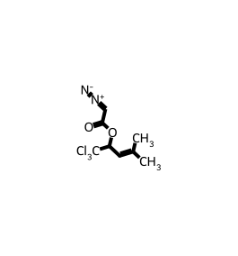 CC(C)=CC(OC(=O)C=[N+]=[N-])C(Cl)(Cl)Cl